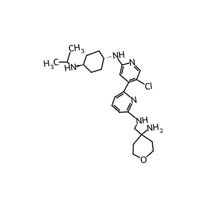 CC(C)N[C@H]1CC[C@H](Nc2cc(-c3cccc(NCC4(N)CCOCC4)n3)c(Cl)cn2)CC1